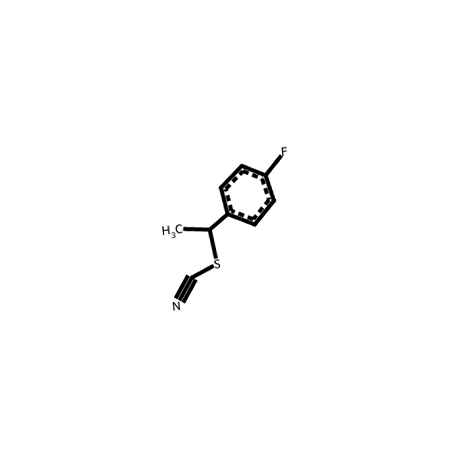 CC(SC#N)c1ccc(F)cc1